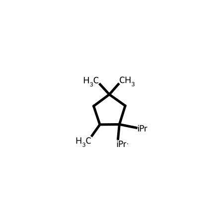 [CH2]C(C)C1([C](C)C)CC(C)(C)CC1C